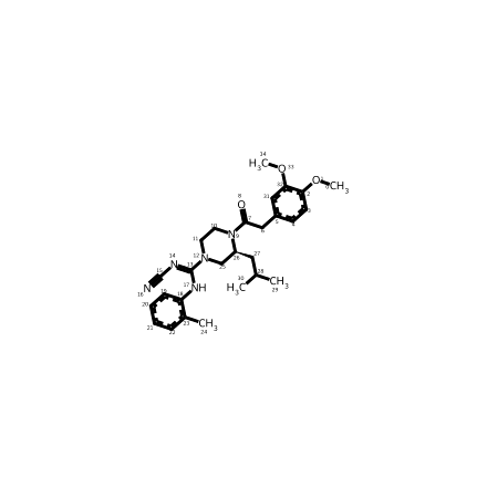 COc1ccc(CC(=O)N2CCN(/C(=N/C#N)Nc3ccccc3C)C[C@@H]2CC(C)C)cc1OC